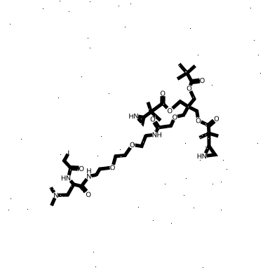 CN(C)CC(NC(=O)CI)C(=O)NCCOCCOCCNC(=O)COCC(COC(=O)C(C)(C)C)(COC(=O)C(C)(C)C1CN1)COC(=O)C(C)(C)C1CN1